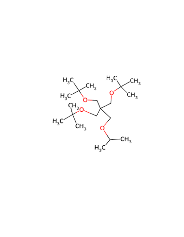 CC(C)OCC(COC(C)(C)C)(COC(C)(C)C)COC(C)(C)C